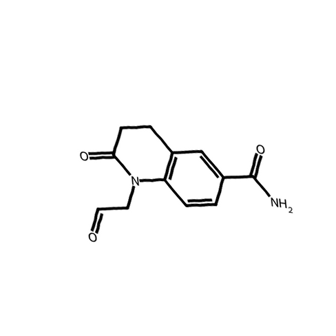 NC(=O)c1ccc2c(c1)CCC(=O)N2CC=O